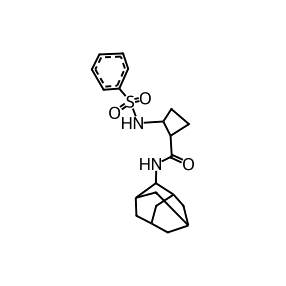 O=C(NC1C2CC3CC(C2)CC1C3)C1CCC1NS(=O)(=O)c1ccccc1